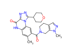 Cc1cc2[nH]c(=O)c3nnc(C4CCOCC4)n3c2cc1C(=O)N1CCc2cnn(C)c2C1